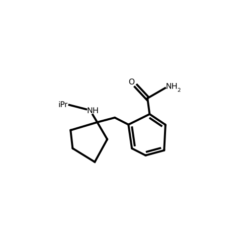 CC(C)NC1(Cc2ccccc2C(N)=O)CCCC1